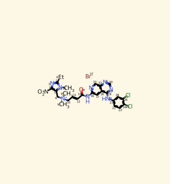 CCc1nc([N+](=O)[O-])c(C[N+](C)(C)C/C=C/C(=O)Nc2cc3c(Nc4ccc(Cl)c(Cl)c4)ncnc3cn2)n1C.[Br-]